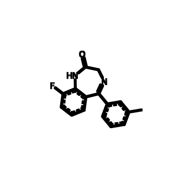 Cc1cccc(C2=NCC(=O)Nc3c(F)cccc32)c1